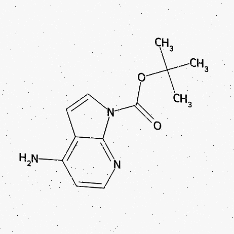 CC(C)(C)OC(=O)n1ccc2c(N)ccnc21